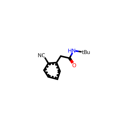 CC(C)(C)NC(=O)Cc1ccccc1C#N